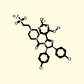 CCOc1nc(C(F)(F)F)ncc1C1=N[C@@H](c2ccc(Cl)cc2)[C@@H](c2ccc(Cl)cc2)N1C(=O)N1CCN(CCS(C)(=O)=O)CC1